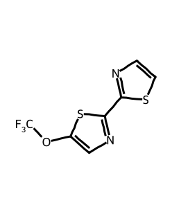 FC(F)(F)Oc1cnc(-c2nccs2)s1